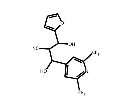 N#CC(C(O)c1cc(C(F)(F)F)nc(C(F)(F)F)c1)C(O)c1ccco1